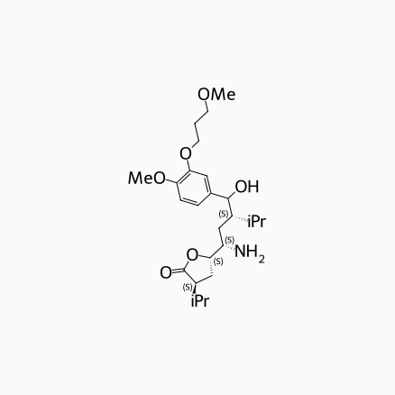 COCCCOc1cc(C(O)[C@@H](C[C@H](N)[C@@H]2C[C@@H](C(C)C)C(=O)O2)C(C)C)ccc1OC